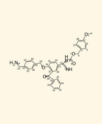 COc1ccc(COC(=O)NC(=N)c2ccc(OCc3ccc(CN)cc3)c(C(=O)c3ccccc3)c2)cc1